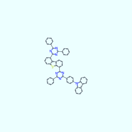 c1ccc(-c2nc(-c3ccc(-n4c5ccccc5c5ccccc54)cc3)nc(-c3cccc4c3sc3cccc(-c5nc(-c6ccccc6)nc(-c6ccccc6)n5)c34)n2)cc1